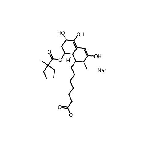 CCC(C)(CC)C(=O)O[C@H]1C[C@H](O)C(O)=C2C=C(O)[C@@H](C)[C@@H](CCCCCCC(=O)[O-])[C@H]21.[Na+]